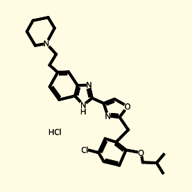 CC(C)COc1ccc(Cl)cc1Cc1nc(-c2nc3cc(CCN4CCCCC4)ccc3[nH]2)co1.Cl